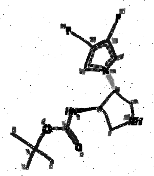 CC(C)(C)OC(=O)N[C@@H]1CNC[C@H]1n1cc(F)c(F)c1